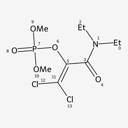 CCN(CC)C(=O)C(OP(=O)(OC)OC)=C(Cl)Cl